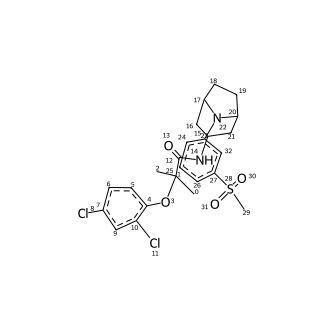 CC(C)(Oc1ccc(Cl)cc1Cl)C(=O)NC1CC2CCC(C1)N2c1cccc(S(C)(=O)=O)c1